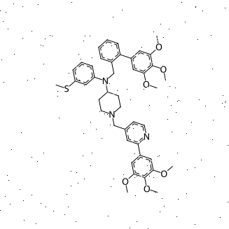 COc1cc(-c2cc(CN3CCC(N(Cc4ccccc4-c4cc(OC)c(OC)c(OC)c4)c4cccc(SC)c4)CC3)ccn2)cc(OC)c1OC